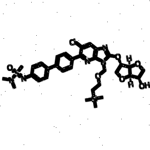 CN(C)S(C)(=O)=Nc1ccc(-c2ccc(-c3nc4c(cc3Cl)nc(O[C@@H]3CO[C@H]5[C@@H]3OC[C@H]5O)n4COCC[Si](C)(C)C)cc2)cc1